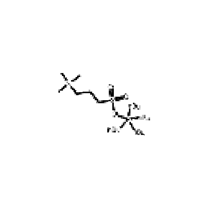 CCCCP(CCCC)(CCCC)(CCCC)OS(=O)(=O)CCC[Si](C)(C)C